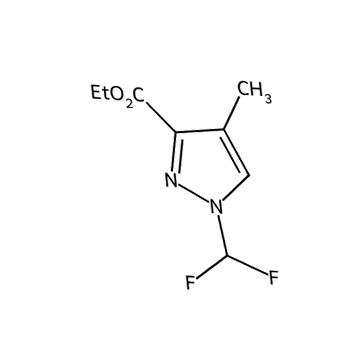 CCOC(=O)c1nn(C(F)F)cc1C